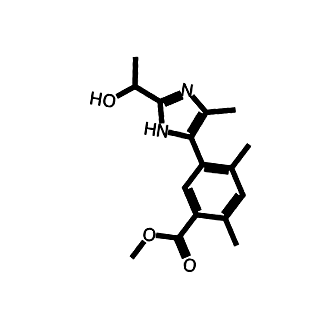 COC(=O)c1cc(-c2[nH]c(C(C)O)nc2C)c(C)cc1C